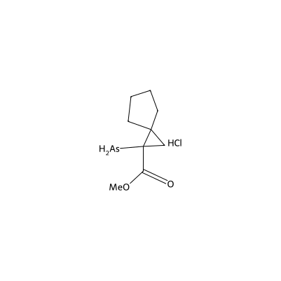 COC(=O)C1([AsH2])CC12CCCC2.Cl